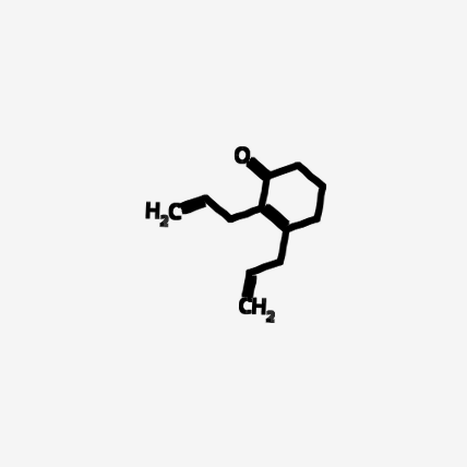 C=CCC1=C(CC=C)C(=O)CCC1